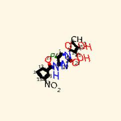 C[C@H]1O[C@@H](n2cc(F)c(NC(=O)c3cccc([N+](=O)[O-])c3)nc2=O)[C@H](O)[C@@H]1O